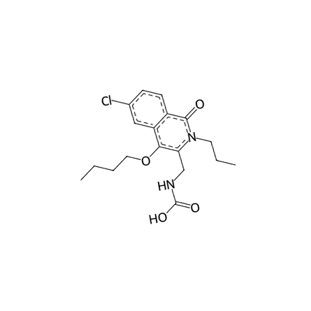 CCCCOc1c(CNC(=O)O)n(CCC)c(=O)c2ccc(Cl)cc12